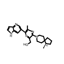 Cc1nc(N2CCC3(CCC[C@H]3C)CC2)c(CO)nc1-c1cnc2cc[nH]c2c1